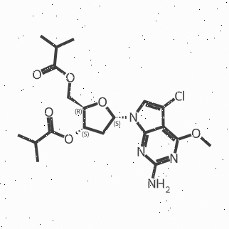 COc1nc(N)nc2c1c(Cl)cn2[C@@H]1C[C@H](OC(=O)C(C)C)[C@@H](COC(=O)C(C)C)O1